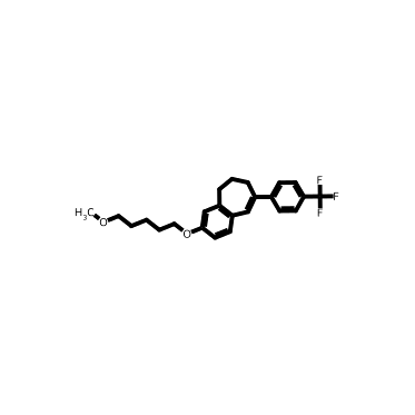 COCCCCCOc1ccc2c(c1)CCCC(c1ccc(C(F)(F)F)cc1)=C2